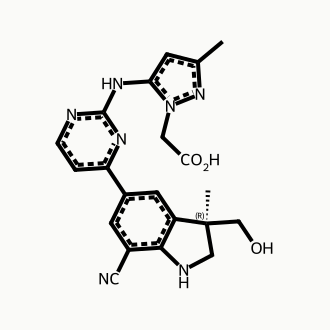 Cc1cc(Nc2nccc(-c3cc(C#N)c4c(c3)[C@@](C)(CO)CN4)n2)n(CC(=O)O)n1